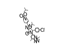 Cc1cc(N2C(=O)c3nc(C4=CCN(C(=O)OCC(C)C)CC4)n(C(C)C)c3C2c2ccc(Cl)cc2)cn2c(C)nnc12